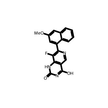 COc1cc(-c2ncc3c(O)nc(=O)[nH]c3c2F)c2ccccc2c1